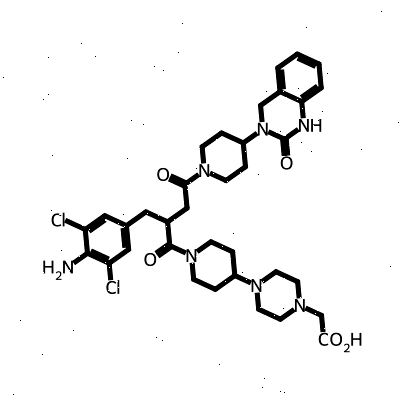 Nc1c(Cl)cc(CC(CC(=O)N2CCC(N3Cc4ccccc4NC3=O)CC2)C(=O)N2CCC(N3CCN(CC(=O)O)CC3)CC2)cc1Cl